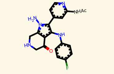 CC(=O)Nc1cc(-c2c(Nc3ccc(F)cc3)c3c(n2N)CNCC3=O)ccn1